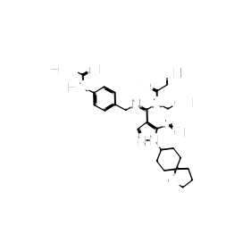 C=Nc1c(/C(=N\Cc2ccc(NC(=C)C)cc2)N(CC)C(=O)CC)cnn1C1CCC2(CCCO2)CC1